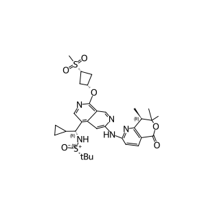 C[C@@H]1c2nc(Nc3cc4c([C@H](N[S@@+]([O-])C(C)(C)C)C5CC5)cnc(O[C@H]5C[C@@H](S(C)(=O)=O)C5)c4cn3)ccc2C(=O)OC1(C)C